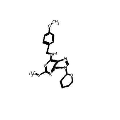 COc1ccc(CNc2nc(SC)nc3c2ncn3C2CCCCO2)cc1